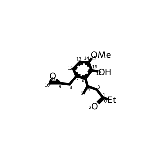 CCC(=O)CC(C)c1c(CC2=CO2)ccc(OC)c1O